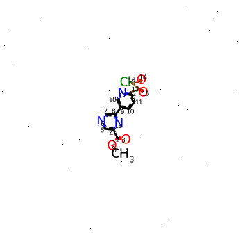 COC(=O)c1cncc(-c2ccc(S(=O)(=O)Cl)nc2)n1